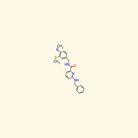 C=Nc1ccc(CNC(=O)c2cccc(NCc3ccccc3)n2)cc1SC